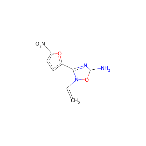 C=CN1OC(N)N=C1c1ccc([N+](=O)[O-])o1